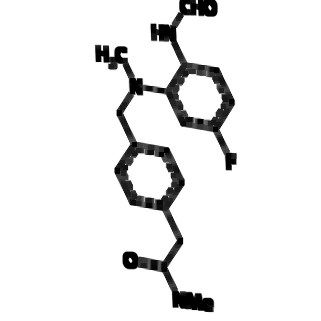 CNC(=O)Cc1ccc(CN(C)c2cc(F)ccc2NC=O)cc1